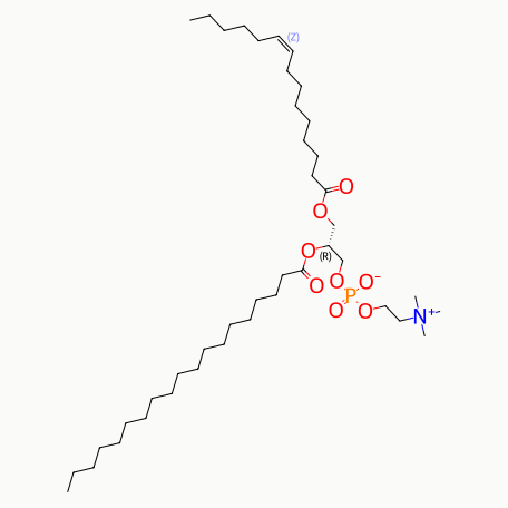 CCCCC/C=C\CCCCCCCC(=O)OC[C@H](COP(=O)([O-])OCC[N+](C)(C)C)OC(=O)CCCCCCCCCCCCCCCCCC